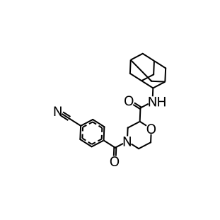 N#Cc1ccc(C(=O)N2CCOC(C(=O)NC3C4CC5CC(C4)CC3C5)C2)cc1